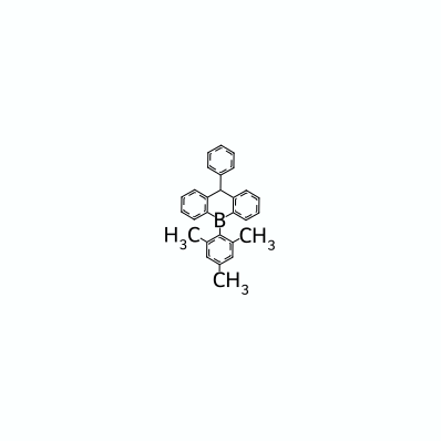 Cc1cc(C)c(B2c3ccccc3C(c3ccccc3)c3ccccc32)c(C)c1